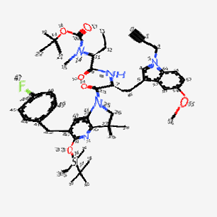 C#CCn1cc(C[C@H](NC(=O)[C@H](CC)N(C)C(=O)OC(C)(C)C)C(=O)N2CC(C)(C)c3nc(O[Si](C)(C)C(C)(C)C)c(Cc4ccc(F)cc4)cc32)c2cc(OC)ccc21